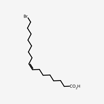 O=C(O)CCCCCC/C=C\CCCCCCCBr